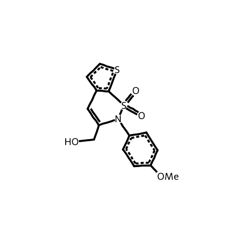 COc1ccc(N2C(CO)=Cc3ccsc3S2(=O)=O)cc1